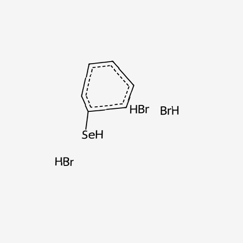 Br.Br.Br.[SeH]c1ccccc1